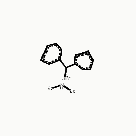 CCCC(c1ccccc1)c1ccccc1.CCNCC